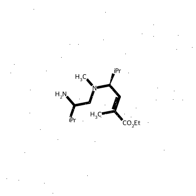 CCOC(=O)/C(C)=C/[C@H](C(C)C)N(C)CC(N)C(C)C